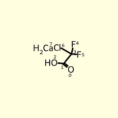 O=C(O)C(F)(F)Cl.[CaH2]